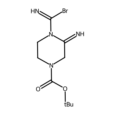 CC(C)(C)OC(=O)N1CCN(C(=N)Br)C(=N)C1